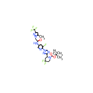 Cc1cc(C(F)(F)F)nn1CC(=O)Nc1cnc(-n2cnc(C3CC(F)(F)CCN3C(=O)OC(C)(C)C)n2)c(F)c1